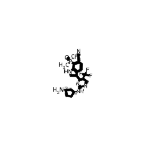 CP(C)(=O)c1c(C#N)ccc2c(-c3nc(N[C@H]4CC[C@H](N)C4)ncc3C(F)(F)F)c[nH]c12